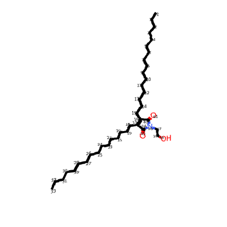 CCCCCCCCCCCCCCCCC1=C(CCCCCCCCCCCCCCCC)C(=O)N(CCO)C1=O